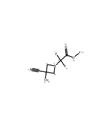 CC1(C#N)CN(C(F)(F)C(=O)OF)C1